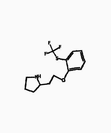 FC(F)(F)Sc1ccccc1OCCC1CCCN1